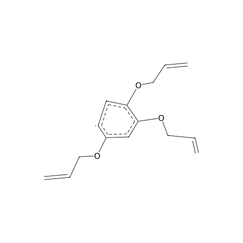 C=CCOc1[c]cc(OCC=C)c(OCC=C)c1